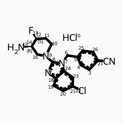 Cl.N#Cc1ccc(Cn2c(N3CC[C@H](F)[C@H](N)C3)nc3ccc(Cl)cc32)cc1